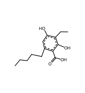 CCCCCc1cc(O)c(CC)c(O)c1C(=O)O